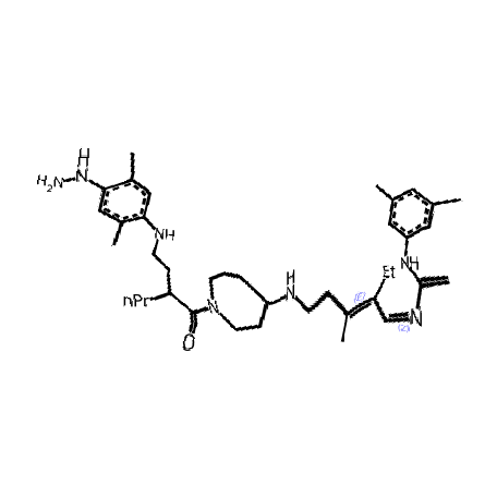 C=C(/N=C\C(CC)=C(/C)CCNC1CCN(C(=O)C(CCC)CCNc2cc(C)c(NN)cc2C)CC1)Nc1cc(C)cc(C)c1